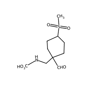 CS(=O)(=O)C1CCC(C=O)(CNC(=O)O)CC1